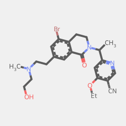 CCOc1cc(C(C)N2CCc3c(Br)cc(CCN(C)CCO)cc3C2=O)ncc1C#N